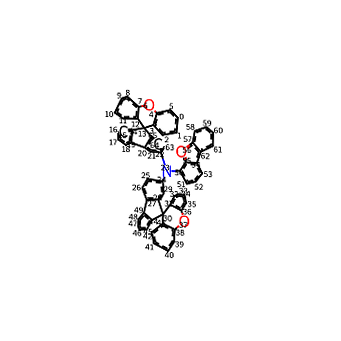 c1ccc2c(c1)Oc1ccccc1C21c2ccccc2-c2cc(N(c3ccc4c(c3)C3(c5ccccc5Oc5ccccc53)c3ccccc3-4)c3cccc4c3oc3ccccc34)ccc21